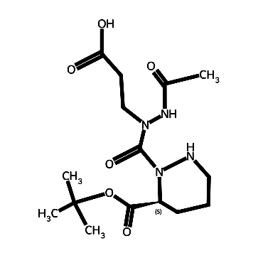 CC(=O)NN(CCC(=O)O)C(=O)N1NCCC[C@H]1C(=O)OC(C)(C)C